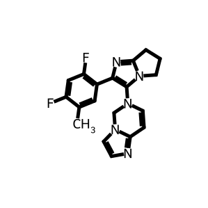 Cc1cc(-c2nc3n(c2N2C=Cc4nccn4C2)CCC3)c(F)cc1F